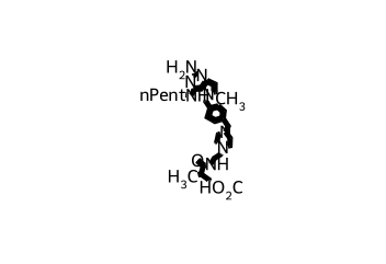 CCCCCNc1nc(N)nc2ccn(Cc3ccc(CN4CCN(CCNC(=O)C(C)CC(=O)O)CC4)cc3C)c12